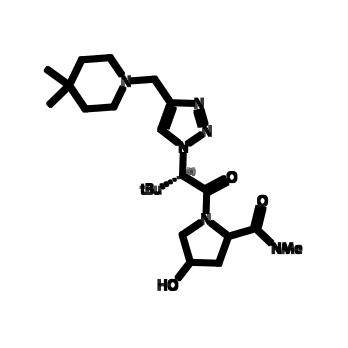 CNC(=O)C1CC(O)CN1C(=O)[C@@H](n1cc(CN2CCC(C)(C)CC2)nn1)C(C)(C)C